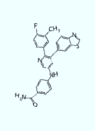 Cc1cc(-c2ncc(Nc3ccc(C(N)=O)cc3)cc2-c2ccc3ncsc3c2)ccc1F